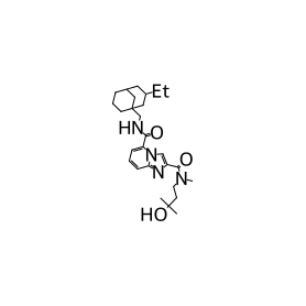 CCC1CC2CCCC(CNC(=O)c3cccc4nc(C(=O)N(C)CCC(C)(C)O)cn34)(C1)C2